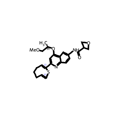 COC[C@@H](C)Oc1cc(/C2=C/CCC/C=C/S2)nc2ccc(NC(=O)C3COC3)cc12